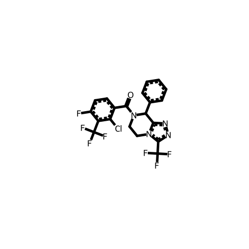 O=C(c1ccc(F)c(C(F)(F)F)c1Cl)N1CCn2c(nnc2C(F)(F)F)C1c1ccccc1